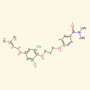 CCCN(CCC)C(=O)c1ccc(OCCCOc2c(Cl)cc(OCC=C(Br)Br)cc2Cl)cc1